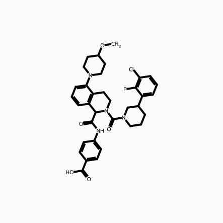 COC1CCN(c2cccc3c2CCN(C(=O)N2CCCC(c4cccc(Cl)c4F)C2)C3C(=O)Nc2ccc(C(=O)O)cc2)CC1